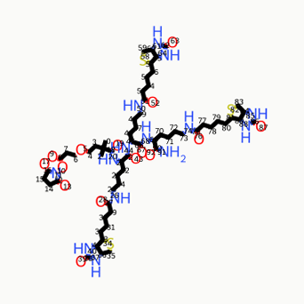 CC(C)(CCOCCC(=O)ON1C(=O)CCC1=O)C(=O)NC(CCCCNC(=O)CCCCC1SCC2NC(=O)NC21)C(=O)NC(CCCCNC(=O)CCCCC1SCC2NC(=O)NC21)C(=O)NC(CCCCNC(=O)CCCCC1SCC2NC(=O)NC21)C(N)=O